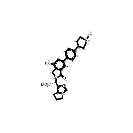 CCOC(=O)[C@@H](c1ncn2c1CCC2)N1Cc2c(cc(-c3ccc(C4CCN(CC)CC4)cc3)cc2C(F)(F)F)C1=O